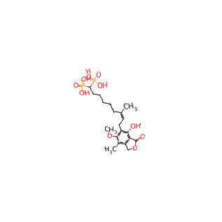 COc1c(C)c2c(c(O)c1CC=C(C)CCCCCC(P(=O)(O)O)P(=O)(O)O)C(=O)OC2